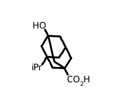 CC(C)C12CC3CC(O)(CC(C(=O)O)(C3)C1)C2